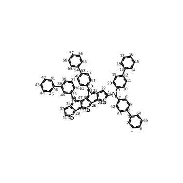 c1ccc(-c2ccc(N(c3ccc(-c4ccccc4)cc3)c3cc4c(s3)c3sc5c6sccc6n(-c6cccc(-c7ccccc7)c6)c5c3n4-c3ccc(-c4ccccc4)cc3)cc2)cc1